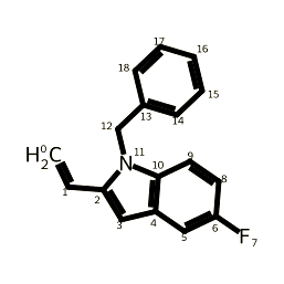 C=Cc1cc2cc(F)ccc2n1Cc1ccccc1